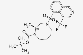 C[C@H]1CN(S(=O)(=O)c2cccc3cncc(C(F)(F)F)c23)CCCCN1C(=O)OC(C)(C)C